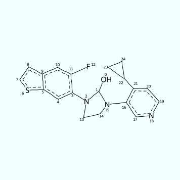 OC1N(c2cc3sccc3cc2F)CCN1c1cnccc1C1CC1